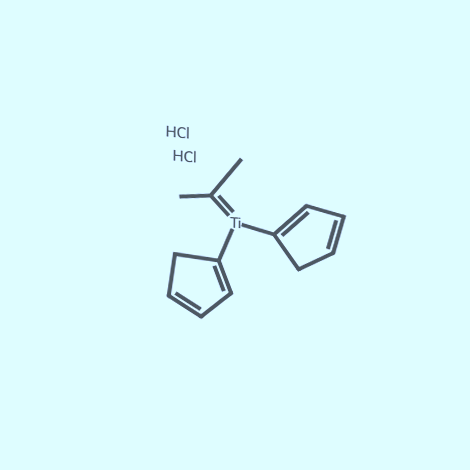 C[C](C)=[Ti]([C]1=CC=CC1)[C]1=CC=CC1.Cl.Cl